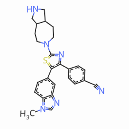 Cn1cnc2cc(-c3sc(N4CCC5CNCC5CC4)nc3-c3ccc(C#N)cc3)ccc21